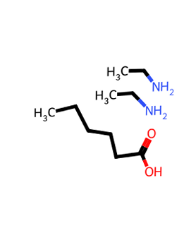 CCCCCC(=O)O.CCN.CCN